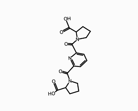 O=C(O)C1CCCN1C(=O)c1cccc(C(=O)N2CCCC2C(=O)O)n1